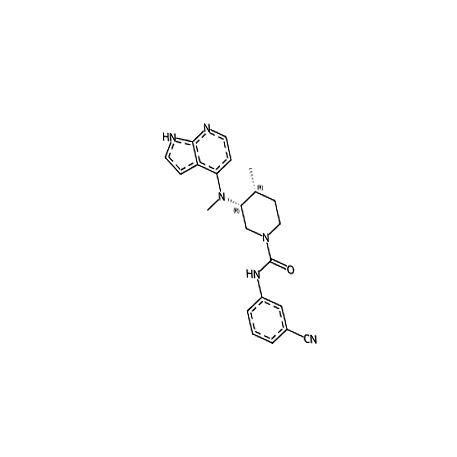 C[C@@H]1CCN(C(=O)Nc2cccc(C#N)c2)C[C@@H]1N(C)c1ccnc2[nH]ccc12